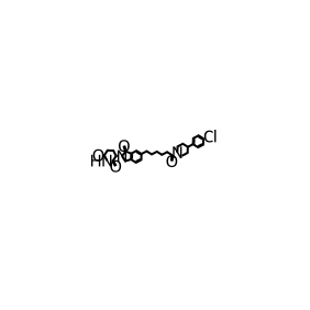 O=C1CCC(N2Cc3ccc(CCCCCC(=O)N4CCC(c5ccc(Cl)cc5)CC4)cc3C2=O)C(=O)N1